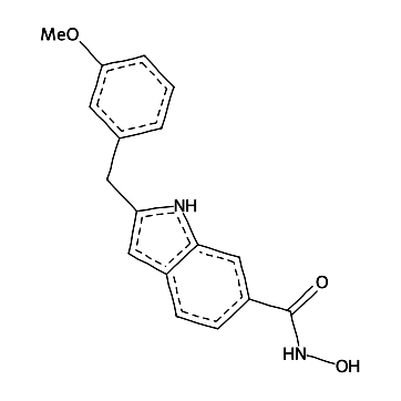 COc1cccc(Cc2cc3ccc(C(=O)NO)cc3[nH]2)c1